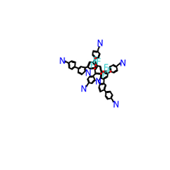 N#Cc1ccc(-c2ccc3c(c2)c2cc(-c4ccc(C#N)cc4)ccc2n3-c2cc(C#N)cc(-n3c4ccc(-c5ccc(C#N)cc5)cc4c4cc(-c5ccc(C#N)cc5)ccc43)c2-c2cc(C(F)(F)F)cc(C(F)(F)F)c2)cc1